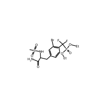 CCOP(=O)(OCC)C(F)(F)c1ccc(CC(NS(C)(=O)=O)C(N)=O)cc1Br